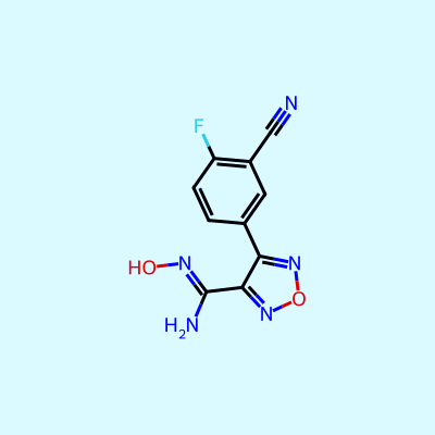 N#Cc1cc(-c2nonc2C(N)=NO)ccc1F